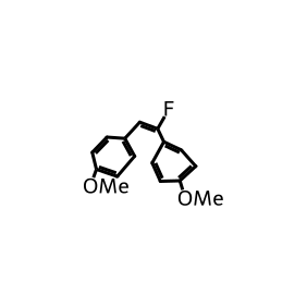 COc1ccc(/C=C(/F)c2ccc(OC)cc2)cc1